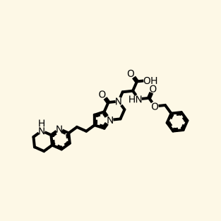 O=C(NC(CN1CCn2cc(CCc3ccc4c(n3)NCCC4)cc2C1=O)C(=O)O)OCc1ccccc1